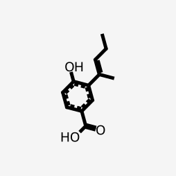 CCC=C(C)c1cc(C(=O)O)ccc1O